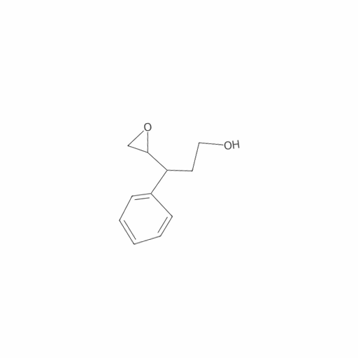 OCCC(c1ccccc1)C1CO1